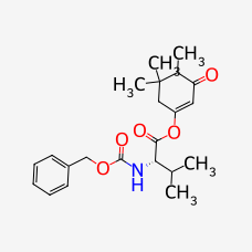 CC(C)[C@H](NC(=O)OCc1ccccc1)C(=O)OC1=CC(=O)C(C)C(C)(C)C1